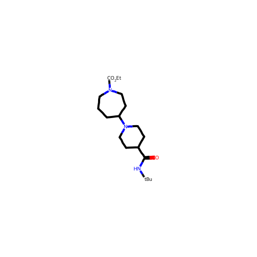 CCOC(=O)N1CCCC(N2CCC(C(=O)NC(C)(C)C)CC2)CC1